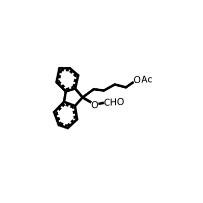 CC(=O)OCCCCC1(OC=O)c2ccccc2-c2ccccc21